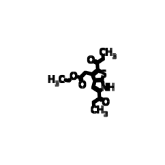 CCOC(=O)Cc1c(C(=O)CC)sc2[nH]c(C(=O)CC)cc12